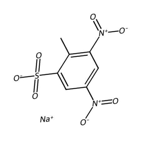 Cc1c([N+](=O)[O-])cc([N+](=O)[O-])cc1S(=O)(=O)[O-].[Na+]